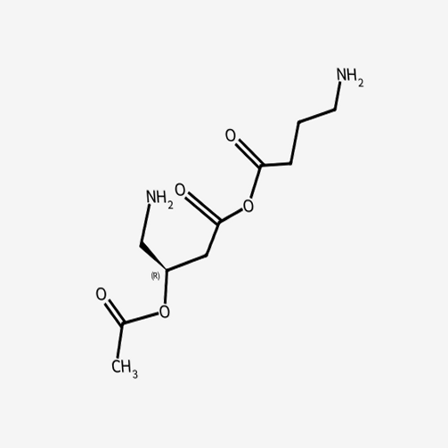 CC(=O)O[C@@H](CN)CC(=O)OC(=O)CCCN